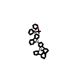 CC(C)(C)[Si](c1ccccc1)(c1ccccc1)c1ccc2c(c1)c1ccccc1n2-c1ccc2c3ccccc3n(-c3ccccc3-c3ccccc3)c2c1